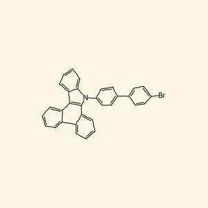 Brc1ccc(-c2ccc(-n3c4ccccc4c4c5ccccc5c5ccccc5c43)cc2)cc1